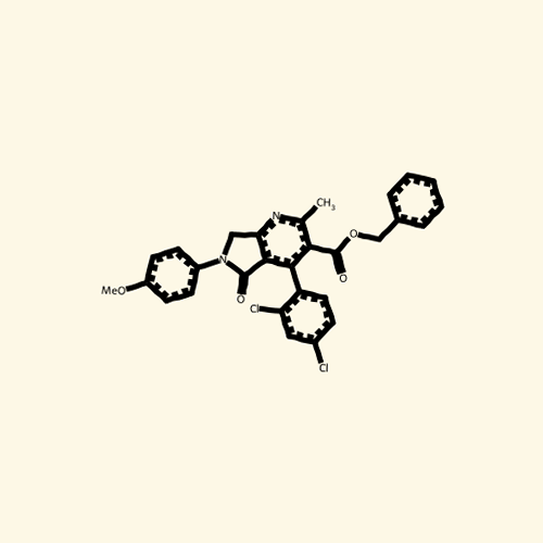 COc1ccc(N2Cc3nc(C)c(C(=O)OCc4ccccc4)c(-c4ccc(Cl)cc4Cl)c3C2=O)cc1